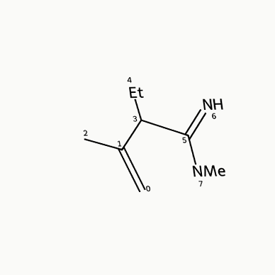 C=C(C)C(CC)C(=N)NC